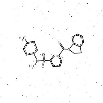 Cc1ccc(N(C)S(=O)(=O)c2cccc(C(=O)N3CCc4ccccc43)c2)cc1